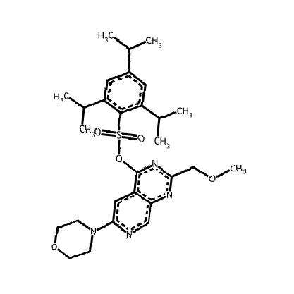 COCc1nc(OS(=O)(=O)c2c(C(C)C)cc(C(C)C)cc2C(C)C)c2cc(N3CCOCC3)ncc2n1